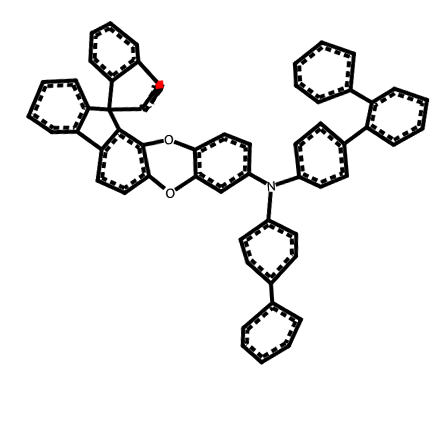 c1ccc(-c2ccc(N(c3ccc(-c4ccccc4-c4ccccc4)cc3)c3ccc4c(c3)Oc3ccc5c(c3O4)C3(c4ccccc4-c4ccccc43)c3ccccc3-5)cc2)cc1